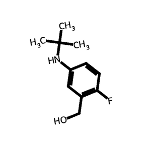 CC(C)(C)Nc1ccc(F)c(CO)c1